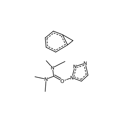 CN(C)C(=[O+]n1ccnn1)N(C)C.c1ccc2c(c1)C2